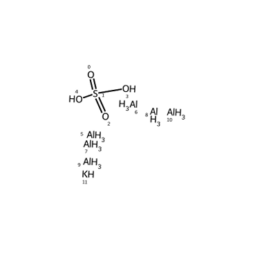 O=S(=O)(O)O.[AlH3].[AlH3].[AlH3].[AlH3].[AlH3].[AlH3].[KH]